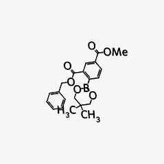 COC(=O)c1ccc(B2OCC(C)(C)CO2)c(C(=O)OCc2ccccc2)c1